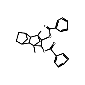 CC12CC(C)(C(OC(=O)c3ccccc3)C1OC(=O)c1ccccc1)C1C3CCC(C3)C12